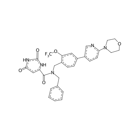 O=C(c1cc(=O)[nH]c(=O)[nH]1)N(Cc1ccccc1)Cc1ccc(-c2ccc(N3CCOCC3)nc2)cc1OC(F)(F)F